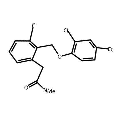 CCc1ccc(OCc2c(F)cccc2CC(=O)NC)c(Cl)c1